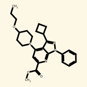 CCCOC1CCN(c2cc(C(=O)OC)nc3c2c(C2CCC2)nn3-c2ccccc2)CC1